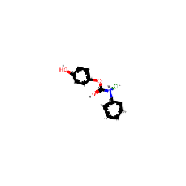 O=C(Oc1ccc(O)cc1)N(Cl)c1ccccc1